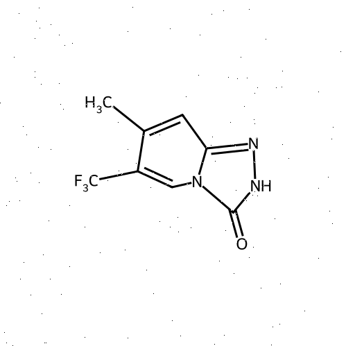 Cc1cc2n[nH]c(=O)n2cc1C(F)(F)F